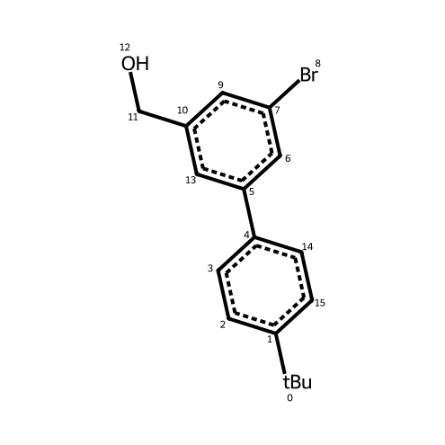 CC(C)(C)c1ccc(-c2cc(Br)cc(CO)c2)cc1